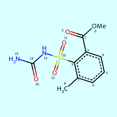 COC(=O)c1cccc(C)c1S(=O)(=O)NC(N)=O